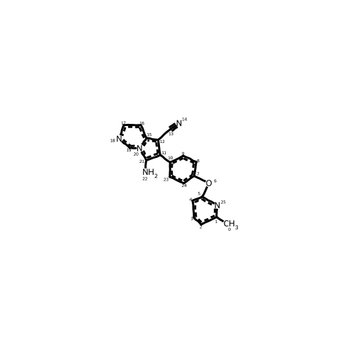 Cc1cccc(Oc2ccc(-c3c(C#N)c4ccncn4c3N)cc2)n1